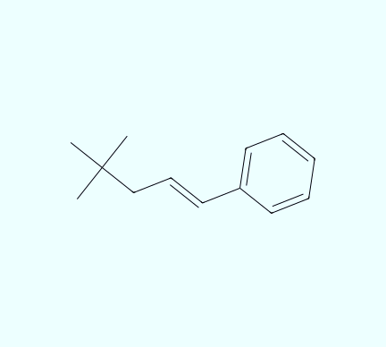 CC(C)(C)CC=Cc1ccccc1